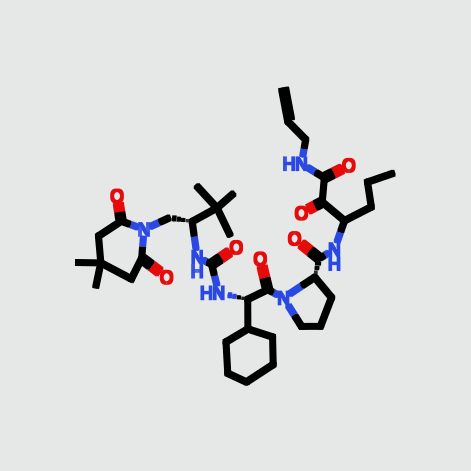 C=CCNC(=O)C(=O)C(CCC)NC(=O)[C@@H]1CCCN1C(=O)[C@@H](NC(=O)N[C@H](CN1C(=O)CC(C)(C)CC1=O)C(C)(C)C)C1CCCCC1